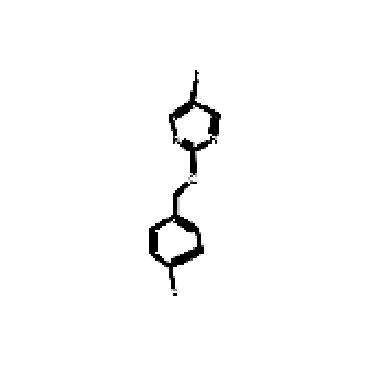 Fc1ccc(COc2ncc(F)cn2)cc1